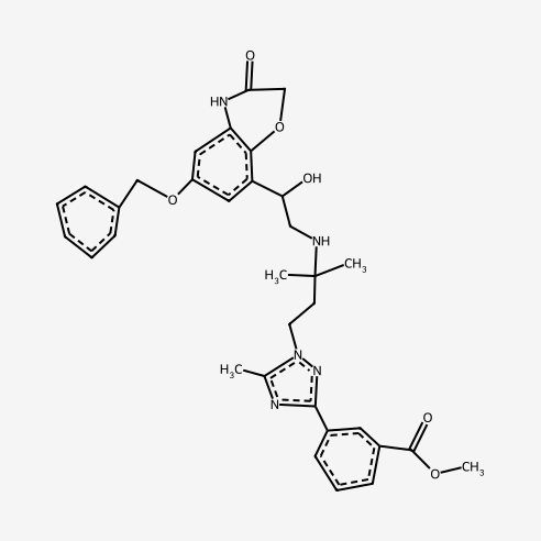 COC(=O)c1cccc(-c2nc(C)n(CCC(C)(C)NCC(O)c3cc(OCc4ccccc4)cc4c3OCC(=O)N4)n2)c1